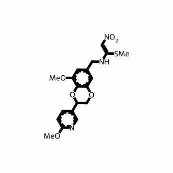 COc1ccc(C2COc3cc(CNC(=C[N+](=O)[O-])SC)cc(OC)c3O2)cn1